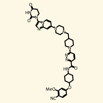 COc1cc(OC2CCC(NC(=O)c3ccc(N4CCC(CN5CCN(c6ccn7c(N8CCC(=O)NC8=O)cnc7c6)CC5)CC4)nn3)CC2)ccc1C#N